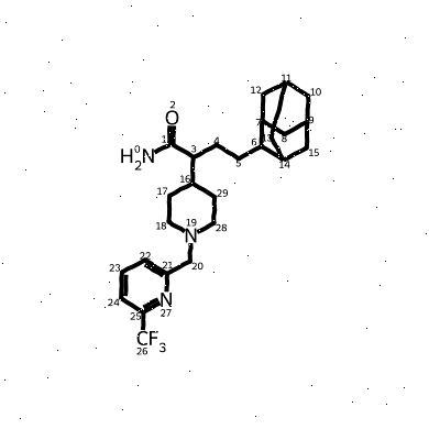 NC(=O)C(CCC1C2CC3CC(C2)CC1C3)C1CCN(Cc2cccc(C(F)(F)F)n2)CC1